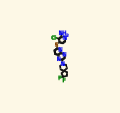 Nc1nccc(Sc2ccc3nc(N4CCC5(CC4)CCC(F)(F)C5)cnc3n2)c1Cl